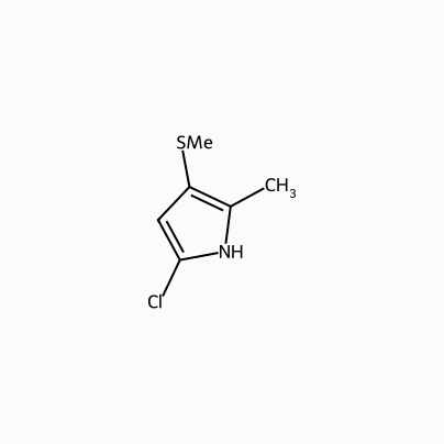 CSc1cc(Cl)[nH]c1C